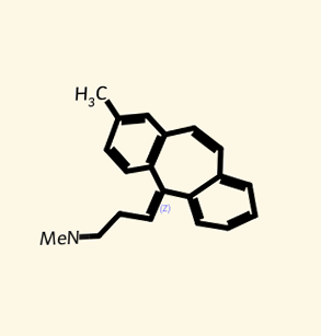 CNCC/C=C1/c2ccccc2C=Cc2cc(C)ccc21